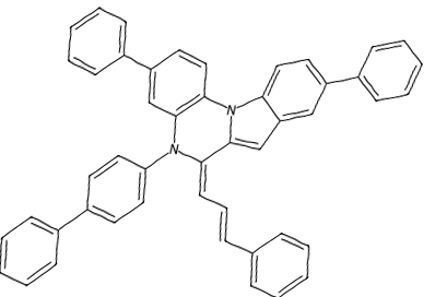 C(=C\c1ccccc1)/C=C1\c2cc3cc(-c4ccccc4)ccc3n2-c2ccc(-c3ccccc3)cc2N1c1ccc(-c2ccccc2)cc1